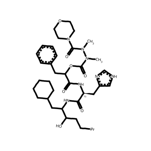 CC(C)CCC(O)C(CC1CCCCC1)NC(=O)[C@H](Cc1c[nH]cn1)NC(=O)C(Cc1ccccc1)OC(=O)N(C)N(C)C(=O)N1CCOCC1